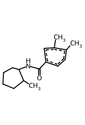 Cc1ccc(C(=O)NC2CCCCC2C)cc1C